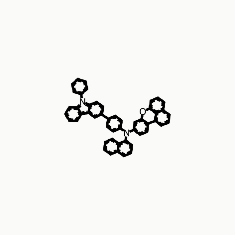 c1ccc(-n2c3ccccc3c3cc(-c4ccc(N(c5ccc6c(c5)Oc5cccc7cccc-6c57)c5cccc6ccccc56)cc4)ccc32)cc1